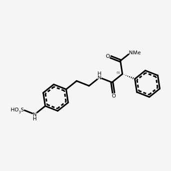 CNC(=O)[C@@H](C(=O)NCCc1ccc(NS(=O)(=O)O)cc1)c1ccccc1